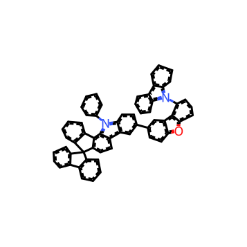 c1ccc(-n2c3ccc(-c4ccc5oc6cccc(-n7c8ccccc8c8ccccc87)c6c5c4)cc3c3ccc4c(c32)-c2ccccc2C42c3ccccc3-c3ccccc32)cc1